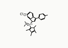 CC1=C(C)C(C)[C]([Zr+2]([CH]2C=C(c3ccc(C)cc3)c3ccccc32)=[Si](C)C)=C1C.[Cl-].[Cl-]